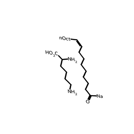 CCCCCCCC/C=C\CCCCCCC[C](=O)[Na].NCCCCC(N)C(=O)O